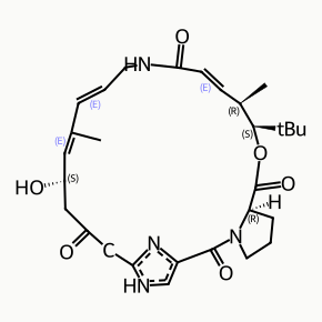 CC1=C\[C@@H](O)CC(=O)Cc2nc(c[nH]2)C(=O)N2CCC[C@@H]2C(=O)O[C@H](C(C)(C)C)[C@H](C)/C=C/C(=O)NC\C=C\1